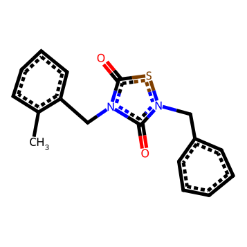 Cc1ccccc1Cn1c(=O)sn(Cc2ccccc2)c1=O